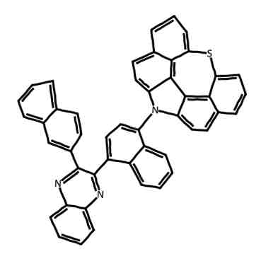 c1ccc2cc(-c3nc4ccccc4nc3-c3ccc(-n4c5ccc6cccc7sc8cccc9ccc4c(c98)c5c67)c4ccccc34)ccc2c1